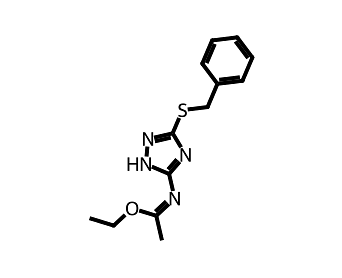 CCOC(C)=Nc1nc(SCc2ccccc2)n[nH]1